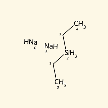 CC[SiH2]CC.[NaH].[NaH]